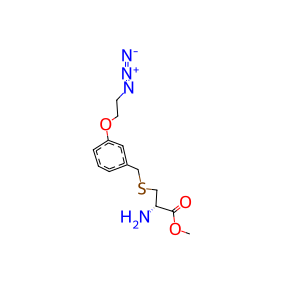 COC(=O)[C@H](N)CSCc1cccc(OCCN=[N+]=[N-])c1